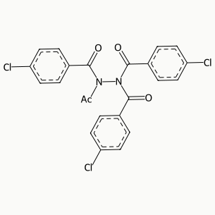 CC(=O)N(C(=O)c1ccc(Cl)cc1)N(C(=O)c1ccc(Cl)cc1)C(=O)c1ccc(Cl)cc1